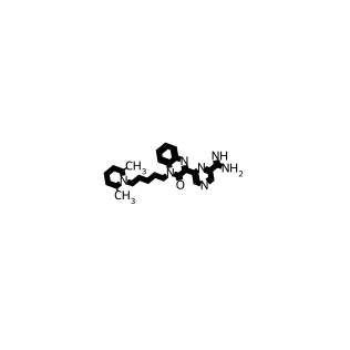 C[C@@H]1CCC[C@H](C)N1CCCCCn1c(=O)c(-c2cncc(C(=N)N)n2)nc2ccccc21